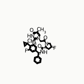 Cc1cn(CC(=O)N2C[C@H](F)C[C@H]2C(=O)N[C@@H](c2ccccc2)c2ccc(C3(C)CC3)c(F)c2)c(=O)[nH]c1=O